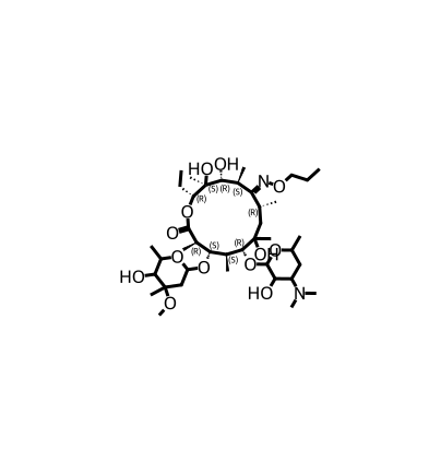 CCCON=C1[C@H](C)CC(C)(O)[C@H](OC2OC(C)CC(N(C)C)C2O)[C@@H](C)[C@H](OC2CC(C)(OC)C(O)C(C)O2)[C@@H](C)C(=O)O[C@H](CC)[C@@](C)(O)[C@H](O)[C@H]1C